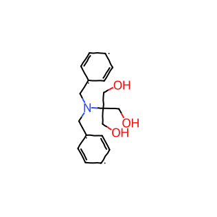 OCC(CO)(CO)N(C[C]1C=C[CH]C=C1)C[C]1C=C[CH]C=C1